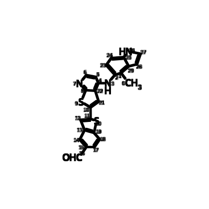 Cc1c(Nc2ccnc3sc(-c4cc5cc(C=O)ccc5s4)cc23)ccc2[nH]ccc12